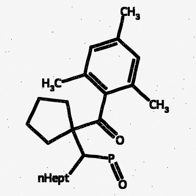 CCCCCCCC(P=O)C1(C(=O)c2c(C)cc(C)cc2C)CCCC1